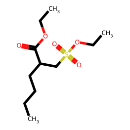 CCCCC(CS(=O)(=O)OCC)C(=O)OCC